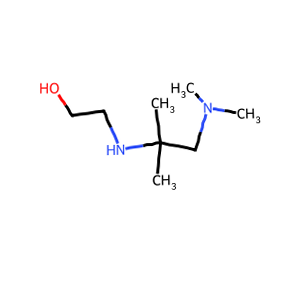 CN(C)CC(C)(C)NCCO